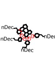 CCCCCCCCCCCCc1ccc(Oc2c(Oc3ccc(CCCCCCCCCCCC)cc3)c3c(Oc4ccc(CCCCCCCCCCCC)cc4)ccc4c5cccc6cccc(c(c2Oc2ccc(CCCCCCCCCCCC)cc2)c34)c65)cc1